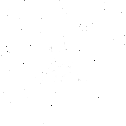 C1NCC1C1CN(C2CC2)C1.CC(C)(C)OC(=O)N1CC(C2CNC2)C1